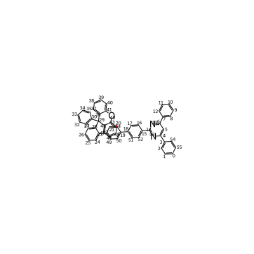 c1ccc(-c2cc(-c3ccccc3)nc(-c3ccc(-c4ccc(-c5ccccc5C5(c6ccccc6)c6ccccc6Oc6ccccc65)cc4)cc3)n2)cc1